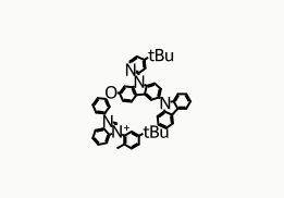 Cc1ccc(C(C)(C)C)cc1-[n+]1cn(-c2cccc(Oc3ccc4c5cc(-n6c7ccccc7c7ccccc76)ccc5n(-c5cc(C(C)(C)C)ccn5)c4c3)c2)c2ccccc21